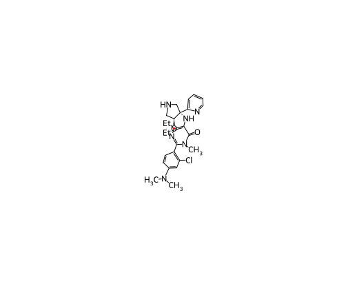 CCO[C@H]1CNC[C@@]1(Nc1c(CC)nc(-c2ccc(N(C)C)cc2Cl)n(C)c1=O)c1ccccn1